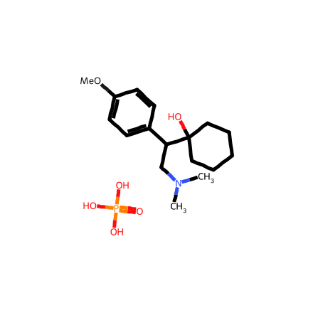 COc1ccc(C(CN(C)C)C2(O)CCCCC2)cc1.O=P(O)(O)O